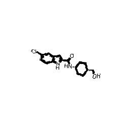 O=C(N[C@H]1CC[C@H](CO)CC1)c1cc2cc(Cl)ccc2[nH]1